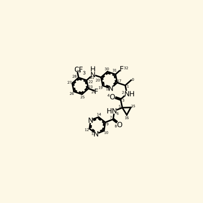 CC(NC(=O)C1(NC(=O)c2cncnc2)CC1)c1ncc(Nc2c(F)cccc2C(F)(F)F)cc1F